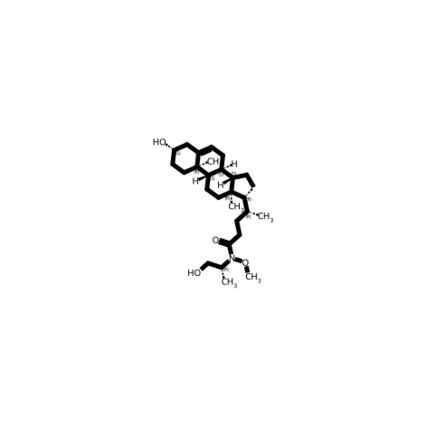 CON(C(=O)CC[C@@H](C)[C@H]1CC[C@H]2[C@@H]3CC=C4C[C@@H](O)CC[C@]4(C)[C@H]3CC[C@]12C)[C@H](C)CO